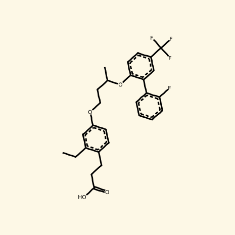 CCc1cc(OCCC(C)Oc2ccc(C(F)(F)F)cc2-c2ccccc2F)ccc1CCC(=O)O